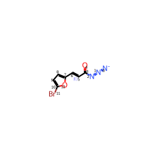 [N-]=[N+]=NC(=O)/C=C/c1ccc(Br)o1